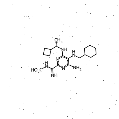 C[C@@H](Nc1nc(C(=N)NC(=O)O)nc(N)c1NCC1CCCCC1)C1CCC1